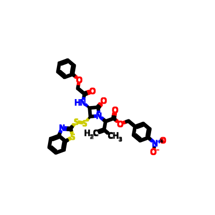 C=C(C)C(C(=O)OCc1ccc([N+](=O)[O-])cc1)N1C(=O)[C@H](NC(=O)COc2ccccc2)[C@@H]1SSc1nc2ccccc2s1